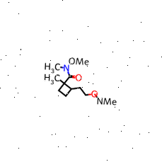 CNOCCC1CCC1(C)C(=O)N(C)OC